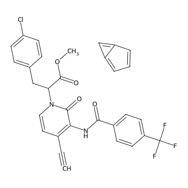 C#Cc1ccn(C(Cc2ccc(Cl)cc2)C(=O)OC)c(=O)c1NC(=O)c1ccc(C(F)(F)F)cc1.c1cc2cc-2c1